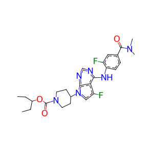 CCC(CC)OC(=O)N1CCC(n2cc(F)c3c(Nc4ccc(C(=O)N(C)C)cc4F)ncnc32)CC1